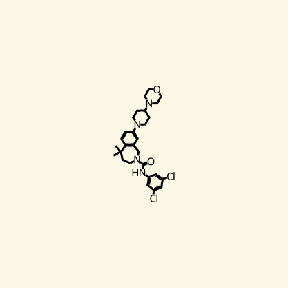 CC1(C)CCN(C(=O)Nc2cc(Cl)cc(Cl)c2)Cc2cc(N3CCC(N4CCOCC4)CC3)ccc21